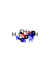 CC(C)COc1cc(C(=O)N[C@@H]2C[C@@H]3CC[C@H]2N3C#N)ccc1-c1cc(C#N)ccn1